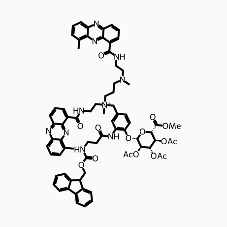 COC(=O)[C@H]1O[C@@H](Oc2ccc(C[N+](C)(CCCN(C)CCNC(=O)c3cccc4nc5cccc(C)c5nc34)CCNC(=O)c3cccc4nc5cccc(C)c5nc34)cc2NC(=O)CCNC(=O)OCC2c3ccccc3-c3ccccc32)[C@H](OC(C)=O)[C@@H](OC(C)=O)[C@@H]1OC(C)=O